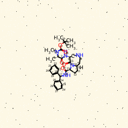 C[C@@H](C(=O)N[C@H]1CNCC[C@H]2CC[C@@H](C(=O)NC(c3ccccc3)c3ccccc3)N2C1=O)N(C)C(=O)OC(C)(C)C